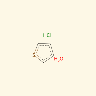 Cl.O.c1ccsc1